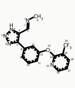 C/N=C/c1[nH]nnc1-c1cccc(Oc2ncccc2C(F)(F)F)c1